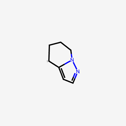 [C]1CCCn2nccc21